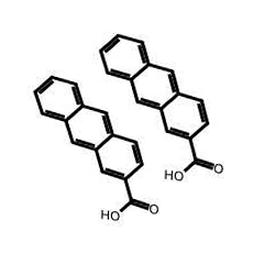 O=C(O)c1ccc2cc3ccccc3cc2c1.O=C(O)c1ccc2cc3ccccc3cc2c1